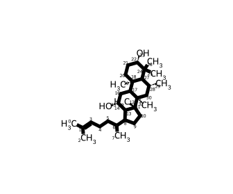 CC(C)=CCCC(C)C1CC[C@]2(C)C1[C@H](O)CC1[C@@]3(C)CC[C@H](O)C(C)(C)C3[C@H](C)C[C@]12C